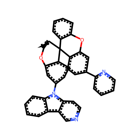 c1ccc(-c2ccc3c(c2)Oc2ccccc2C32c3ccccc3Oc3cc(-n4c5ccccc5c5cnccc54)ccc32)nc1